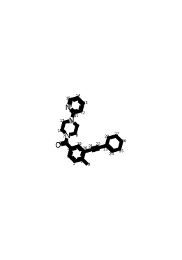 Cc1ccc(C(=O)N2CCN(c3ccccn3)CC2)cc1C#CC1=CCCCC1